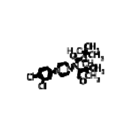 CC(C)(C)OC(=O)N([C@@H](C=O)C(C)(C)C)N1CCN(c2ccc(Cl)c(Cl)c2)CC1